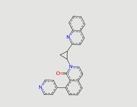 O=c1c2c(-c3ccncc3)cccc2ccn1C1CC1c1ccc2ccccc2n1